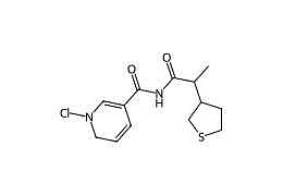 CC(C(=O)NC(=O)C1=CN(Cl)CC=C1)C1CCSC1